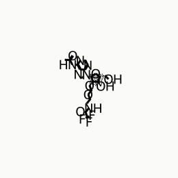 CC(=O)Nc1ncnc2c1ncn2[C@@H]1O[C@H](CO)[C@@H](O)[C@H]1OCOCCNC(=O)C(F)(F)F